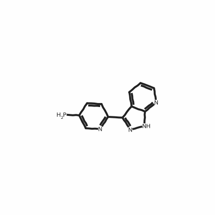 Pc1ccc(-c2n[nH]c3ncccc23)nc1